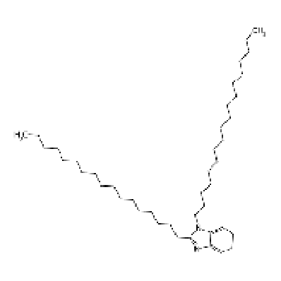 CCCCCCCCCCCCCCCCCCn1c(CCCCCCCCCCCCCCCCC)nc2ccccc21